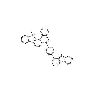 CC1(C)c2ccccc2-c2ccc3c(-c4ccc(-c5cccc6c5sc5ccccc56)cc4)nc4ccccc4c3c21